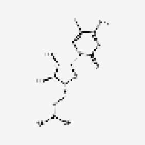 Nc1nc(=O)n([C@@H]2O[C@H](COP(N)O)[C@@H](O)[C@H]2O)cc1I